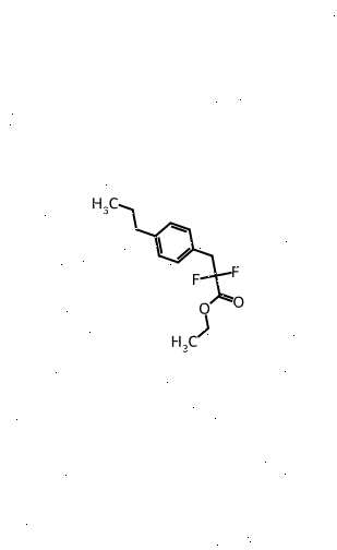 CCCc1ccc(CC(F)(F)C(=O)OCC)cc1